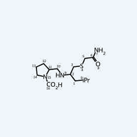 CC(C)CC(CSCC(N)=O)NCC1CCCN1C(=O)O